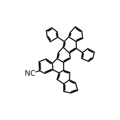 N#Cc1ccc2c(c1)c1cc3ccccc3cc1c1cc3c(-c4ccccc4)c4ccccc4c(-c4ccccc4)c3cc21